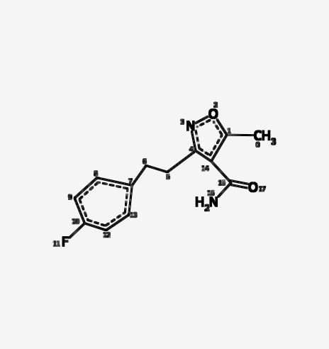 Cc1onc(CCc2ccc(F)cc2)c1C(N)=O